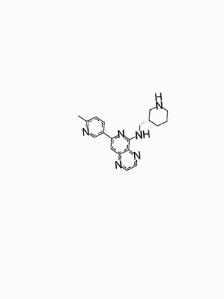 Cc1ccc(-c2cc3nccnc3c(NC[C@H]3CCCNC3)n2)cn1